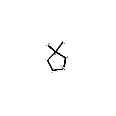 [CH2]C1(C)CCNC1